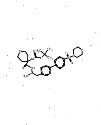 CC(C)(C)OC(=O)NC1(C(=O)N[C@H](N)Cc2ccc(-c3ccc(S(=O)(=O)N4CCOCC4)cc3)cc2)CCOCC1